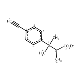 C#Cc1ccc([Si](C)(C)C(C)C(=O)OCC)cc1